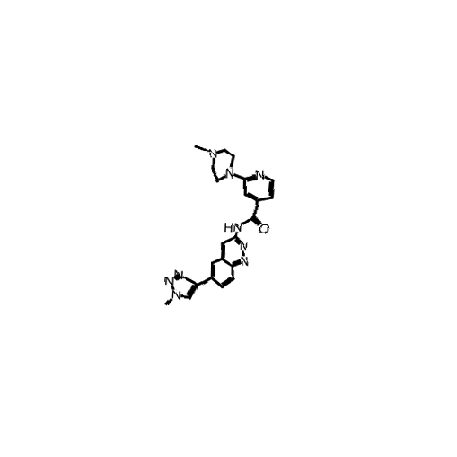 CN1CCN(c2cc(C(=O)Nc3cc4cc(-c5cn(C)nn5)ccc4nn3)ccn2)CC1